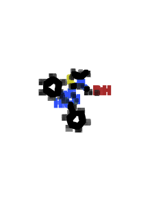 Br.CC1=CSC(N2N=C(c3ccccc3)NN2c2ccccc2)N1C